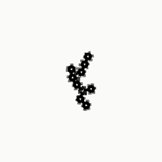 c1ccc(-c2ccc(-c3cccc(-n4c5ccccc5c5ccc6c7ccc(-c8nc(-c9ccccc9)nc(-c9cccc(-c%10ccccc%10)c9)n8)cc7oc6c54)c3)cc2)cc1